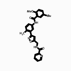 COc1ccc(C(C)(C)C)cc1C(=O)Nc1ccc(C)c(-c2cc(CNC(=O)c3ccccn3)on2)c1